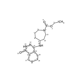 CCOC(=O)N1CCCC(Nc2n[nH]c(=O)c3ccccc23)CC1